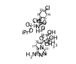 CC(C)OC(=O)[C@H](C)NP(=O)(OC[C@H]1O[C@@](C)(c2ccc3c(N)nncn23)[C@](C)(O)[C@@H]1O)Oc1ccc(Cl)cc1